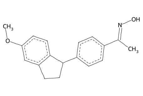 COc1ccc2c(c1)CCC2c1ccc(C(C)=NO)cc1